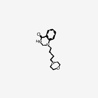 O=C1NCN(CCCCN2CCOCC2)c2ccccc21